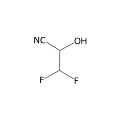 N#CC(O)C(F)F